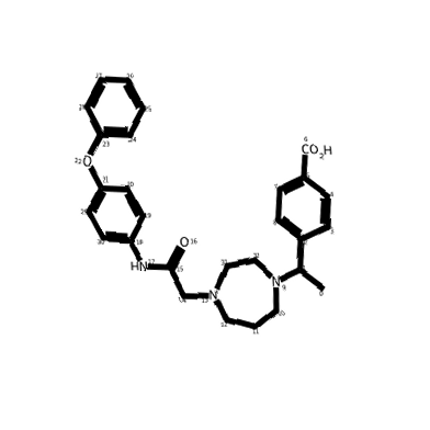 CC(c1ccc(C(=O)O)cc1)N1CCCN(CC(=O)Nc2ccc(Oc3ccccc3)cc2)CC1